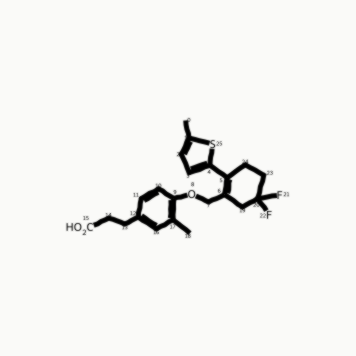 Cc1ccc(C2=C(COc3ccc(CCC(=O)O)cc3C)CC(F)(F)CC2)s1